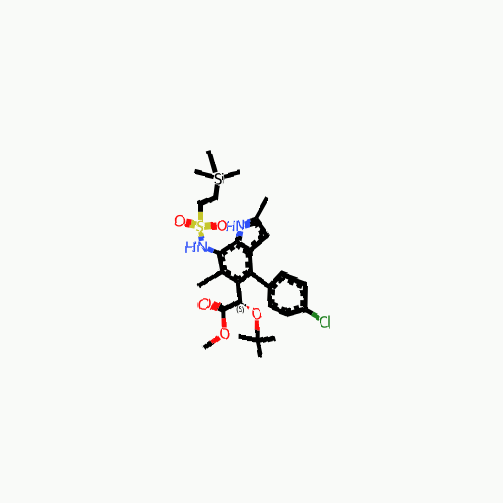 COC(=O)[C@@H](OC(C)(C)C)c1c(C)c(NS(=O)(=O)CC[Si](C)(C)C)c2[nH]c(C)cc2c1-c1ccc(Cl)cc1